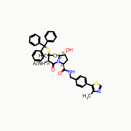 CC(=O)N[C@H](C(=O)N1C[C@H](O)C[C@H]1C(=O)NCc1ccc(-c2scnc2C)cc1)C(C)(C)SC(c1ccccc1)(c1ccccc1)c1ccccc1